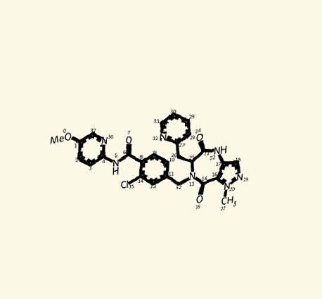 COc1ccc(NC(=O)c2ccc(CN3C(=O)c4c(cnn4C)NC(=O)C3Cc3ccccn3)cc2Cl)nc1